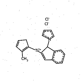 CC1=[C]([Ti+2][C]2=Cc3ccccc3C2n2cccc2)CC=C1.[Cl-].[Cl-]